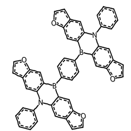 c1ccc(N2c3cc4ccoc4cc3B(c3ccc(B4c5cc6occc6cc5N(c5ccccc5)c5cc6ccoc6cc54)cc3)c3cc4occc4cc32)cc1